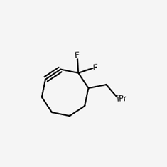 CC(C)CC1CCCCC#CC1(F)F